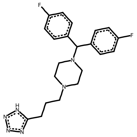 Fc1ccc(C(c2ccc(F)cc2)N2CCN(CCCc3nnn[nH]3)CC2)cc1